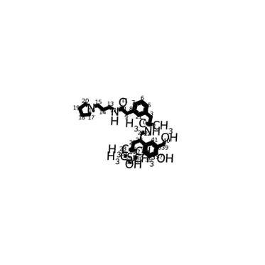 CC(C)(Cc1cccc(CC(=O)NCCCN2CCCC2)c1)NC[C@H](CC(C)(C)[Si](C)(C)O)c1ccc(O)c(CO)c1